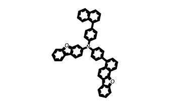 c1ccc2c(-c3ccc(N(c4ccc(-c5cccc6c5ccc5c7ccccc7oc65)cc4)c4ccc5c(c4)oc4ccccc45)cc3)cccc2c1